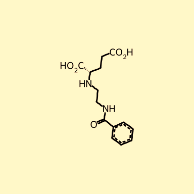 O=C(O)CC[C@H](NCCNC(=O)c1ccccc1)C(=O)O